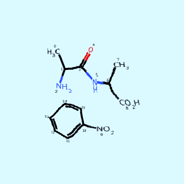 CC(N)C(=O)NC(C)C(=O)O.O=[N+]([O-])c1ccccc1